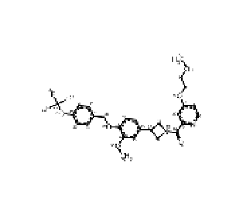 COCCOc1ccnc(C(=O)N2CC(c3ccc(OCc4ccc(OC(F)(F)F)cc4)c(OC)c3)C2)c1